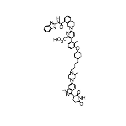 Cc1c(OC2CCC(CCCCN3CCN(c4ccc5c(C6CCC(=O)NC6=O)nn(C)c5c4)CC3C)CC2)cccc1-c1ccc(N2CCc3cccc(C(=O)Nc4nc5ccccc5s4)c3C2)nc1C(=O)O